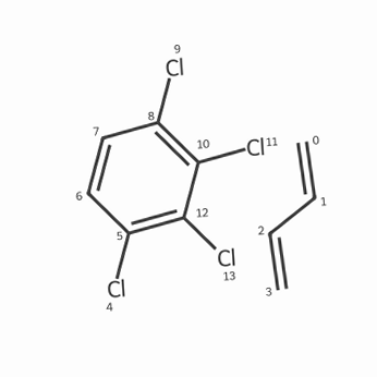 C=CC=C.Clc1ccc(Cl)c(Cl)c1Cl